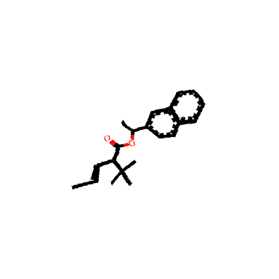 C/C=C/C(C(=O)OC(C)c1ccc2ccccc2c1)C(C)(C)C